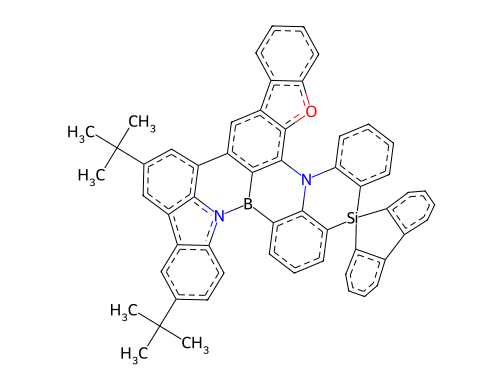 CC(C)(C)c1ccc2c(c1)c1cc(C(C)(C)C)cc3c1n2B1c2cccc4c2N(c2ccccc2[Si]42c4ccccc4-c4ccccc42)c2c1c-3cc1c2oc2ccccc21